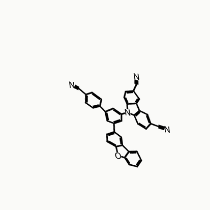 N#Cc1ccc(-c2cc(-c3ccc4oc5ccccc5c4c3)cc(-n3c4ccc(C#N)cc4c4cc(C#N)ccc43)c2)cc1